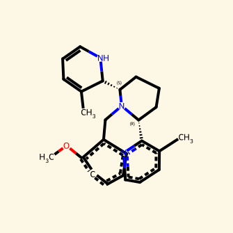 COc1ccccc1CN1[C@@H](c2ncccc2C)CCC[C@H]1C1NC=CC=C1C